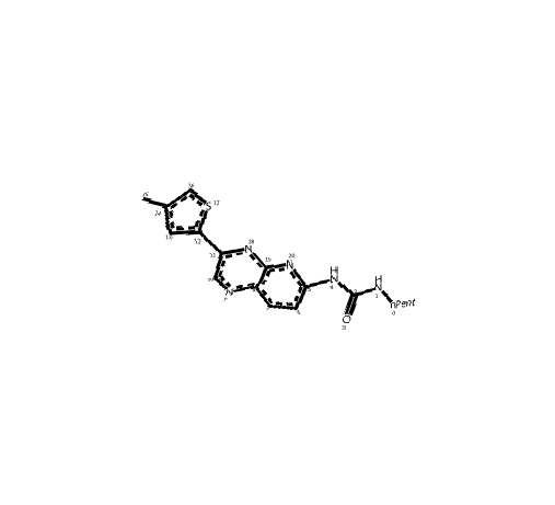 CCCCCNC(=O)Nc1ccc2ncc(-c3cc(C)cs3)nc2n1